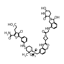 CC1(C)C[C@H](Nc2cccc(-c3sc(C(N)=O)c(CCC(=O)O)c3Cl)c2)CCN1S(=O)(=O)Cc1ccc(F)c(NC(=O)C2CN(C(=O)CNc3cccc4c3CN(C3CCC(O)NC3=O)C4O)C2)c1